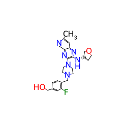 Cc1cc2nc(N[C@H]3CCOC3)c(N3CCN(Cc4ccc(CO)cc4F)CC3)nc2cn1